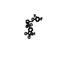 O=C1Nc2ccc(S(=O)(=O)N3CCCC3COc3ccc(F)cc3F)cc2C1=O